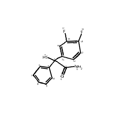 NC(=O)C(S)(c1ccccc1)c1ccc(F)c(F)c1